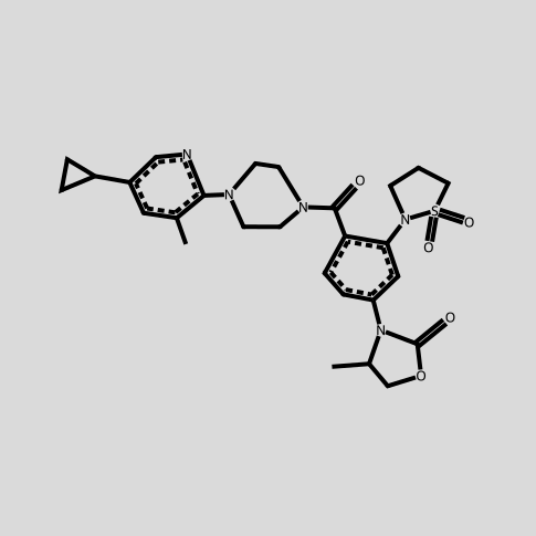 Cc1cc(C2CC2)cnc1N1CCN(C(=O)c2ccc(N3C(=O)OCC3C)cc2N2CCCS2(=O)=O)CC1